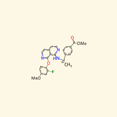 COC(=O)c1ccc([C@H](C)Nc2nccc3ccnc(Oc4ccc(OC)cc4F)c23)cc1